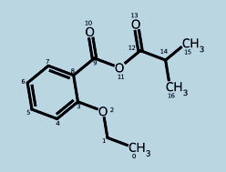 CCOc1ccccc1C(=O)OC(=O)C(C)C